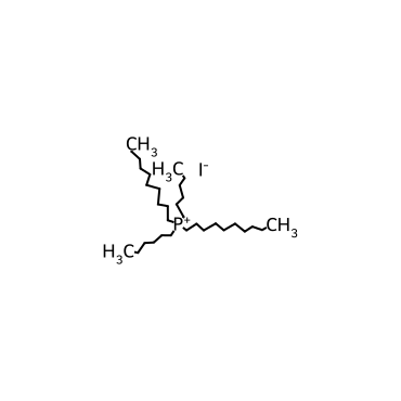 CCCCCCCCCC[P+](CCCCCC)(CCCCCC)CCCCCCCCCC.[I-]